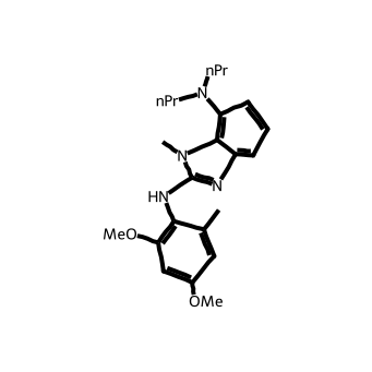 CCCN(CCC)c1cccc2nc(Nc3c(C)cc(OC)cc3OC)n(C)c12